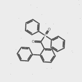 O=C(c1ccccc1-c1ccccc1)P(=O)(c1ccccc1)c1ccccc1